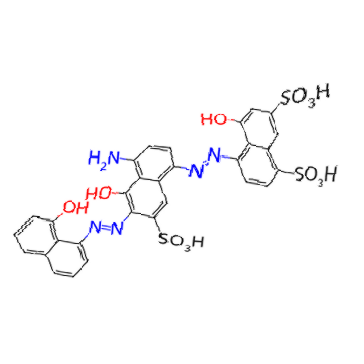 Nc1ccc(N=Nc2ccc(S(=O)(=O)O)c3cc(S(=O)(=O)O)cc(O)c23)c2cc(S(=O)(=O)O)c(N=Nc3cccc4cccc(O)c34)c(O)c12